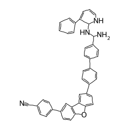 N#Cc1ccc(-c2ccc3oc4ccc(-c5ccc(-c6ccc(C(N)NC7NC=CC=C7c7ccccc7)cc6)cc5)cc4c3c2)cc1